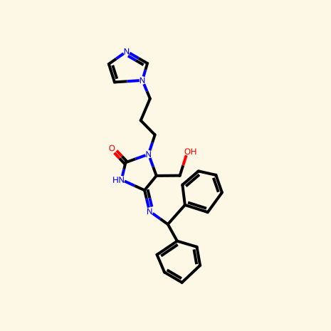 O=C1N/C(=N/C(c2ccccc2)c2ccccc2)C(CO)N1CCCn1ccnc1